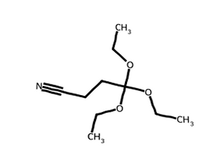 CCOC(CCC#N)(OCC)OCC